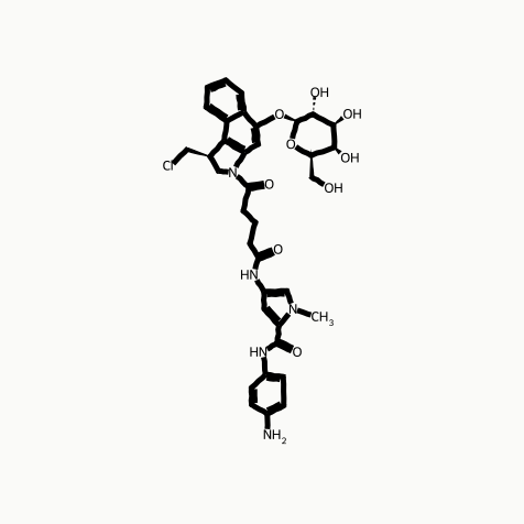 Cn1cc(NC(=O)CCCC(=O)N2C[C@@H](CCl)c3c2cc(O[C@@H]2O[C@H](CO)[C@H](O)[C@H](O)[C@H]2O)c2ccccc32)cc1C(=O)Nc1ccc(N)cc1